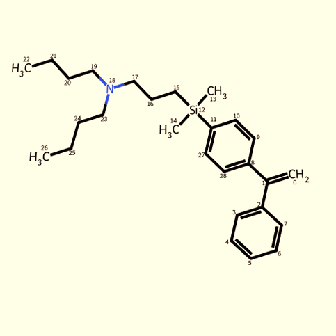 C=C(c1ccccc1)c1ccc([Si](C)(C)CCCN(CCCC)CCCC)cc1